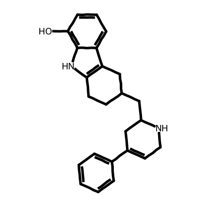 Oc1cccc2c3c([nH]c12)CCC(CC1CC(c2ccccc2)=CCN1)C3